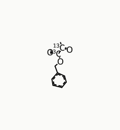 C[13C](=O)[13C](=O)OCc1ccccc1